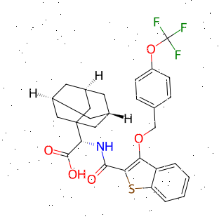 O=C(N[C@H](C(=O)O)C12C[C@H]3C[C@H](C1)C[C@@H](C2)C3)c1sc2ccccc2c1OCc1ccc(OC(F)(F)F)cc1